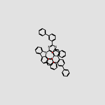 C1=CC2c3ccc4c5ccccc5n(-c5nc(-c6ccccc6)nc(-c6cccc(-c7ccccc7)c6)n5)c4c3N(c3ccccc3-c3ccc(-c4ccccc4)cc3-c3ccccc3)C2C=C1